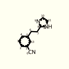 N#Cc1cccc(CCc2ncc[nH]2)c1